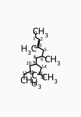 CC/C=C(\C)CC(C)CC(CCCC)CC(C)C